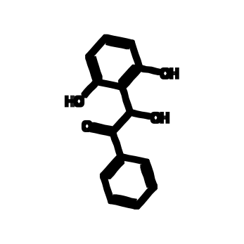 O=C(c1ccccc1)C(O)c1c(O)cccc1O